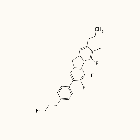 CCCc1cc2c(c(F)c1F)-c1c(cc(-c3ccc(CCCF)cc3)c(F)c1F)C2